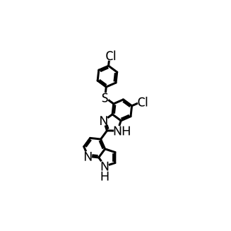 Clc1ccc(Sc2cc(Cl)cc3[nH]c(-c4ccnc5[nH]ccc45)nc23)cc1